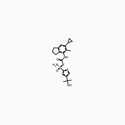 Cc1c(C2CC2)cc2c(c1NC(=O)N=[S@](N)(=O)c1cc(C(C)(C)O)cs1)CCC2